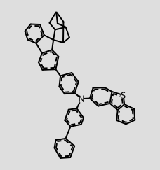 c1ccc(-c2ccc(N(c3ccc(-c4ccc5c(c4)C4(c6ccccc6-5)C5CC6CC(C5)C4C6)cc3)c3ccc4sc5ccccc5c4c3)cc2)cc1